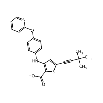 CC(C)(C)C#Cc1cc(Nc2ccc(Oc3ccccn3)cc2)c(C(=O)O)s1